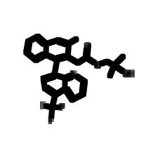 Cc1cc2ccccc2c(-c2ccc(C(F)(F)F)c3cccnc23)c1CC(=O)OCC(C)(C)O